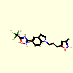 Cc1cc(CCCn2ccc3cc(-c4noc(C(F)(F)F)n4)ccc32)on1